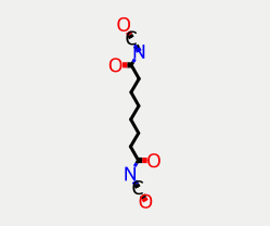 O=C=NC(=O)CCCCCCC(=O)N=C=O